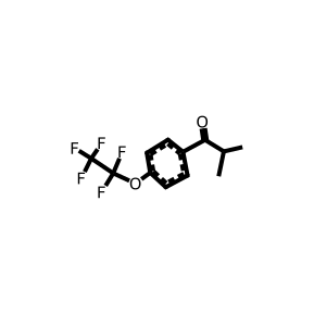 CC(C)C(=O)c1ccc(OC(F)(F)C(F)(F)F)cc1